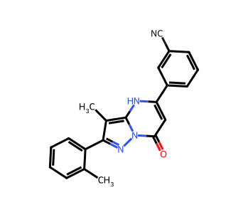 Cc1ccccc1-c1nn2c(=O)cc(-c3cccc(C#N)c3)[nH]c2c1C